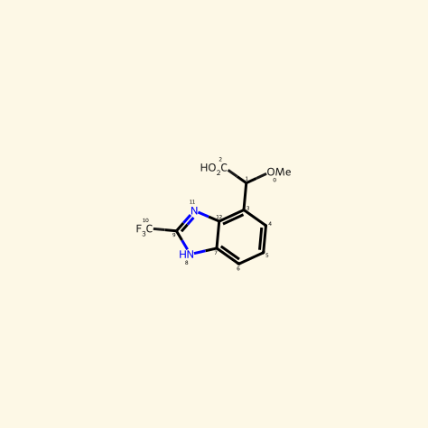 COC(C(=O)O)c1cccc2[nH]c(C(F)(F)F)nc12